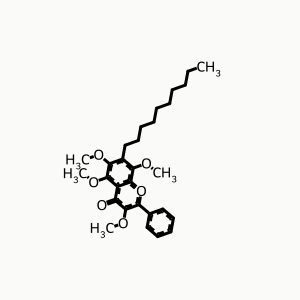 CCCCCCCCCCc1c(OC)c(OC)c2c(=O)c(OC)c(-c3ccccc3)oc2c1OC